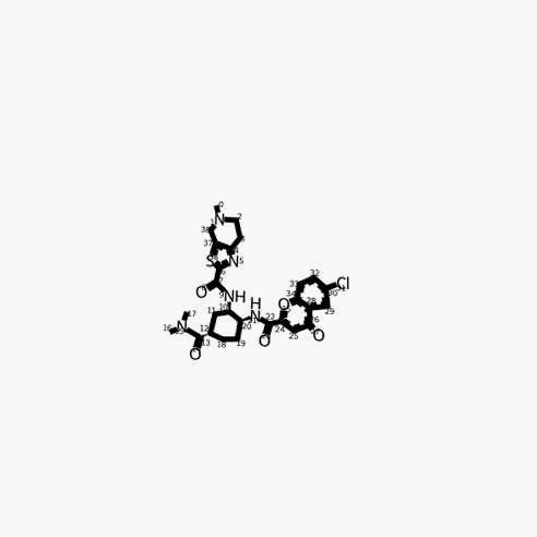 CN1CCc2nc(C(=O)N[C@@H]3C[C@@H](C(=O)N(C)C)CC[C@@H]3NC(=O)c3cc(=O)c4cc(Cl)ccc4o3)sc2C1